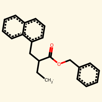 [CH2]CC(Cc1cccc2ccccc12)C(=O)OCc1ccccc1